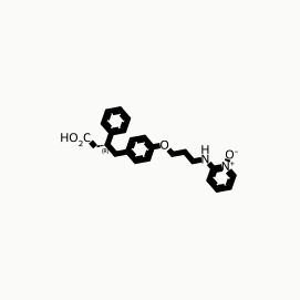 O=C(O)C[C@@H](Cc1ccc(OCCCNc2cccc[n+]2[O-])cc1)c1ccccc1